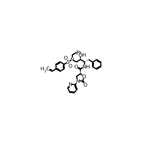 C=Cc1ccc(S(=O)(=O)N(CC(C)C)C[C@@H](O)[C@H](Cc2ccccc2)NC(=O)[C@@H]2CN(c3ccccn3)C(=O)O2)cc1